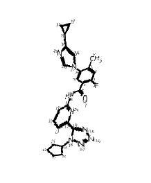 Cc1cc(F)c(C(=O)Nc2cccc(-c3nnnn3C3CCCC3)n2)cc1-n1cnc(C2CC2)c1